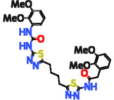 COc1cccc(CC(=O)Nc2nnc(CCCCc3nnc(NC(=O)Nc4cccc(OC)c4OC)s3)s2)c1OC